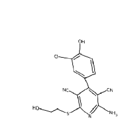 N#Cc1c(N)nc(SCCO)c(C#N)c1-c1ccc(O)c(Cl)c1